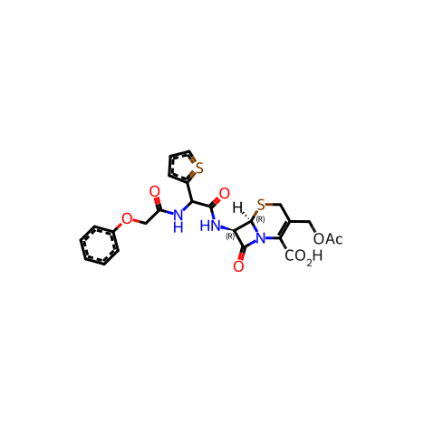 CC(=O)OCC1=C(C(=O)O)N2C(=O)[C@@H](NC(=O)C(NC(=O)COc3ccccc3)c3cccs3)[C@H]2SC1